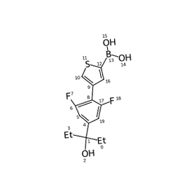 CCC(O)(CC)c1cc(F)c(-c2csc(B(O)O)c2)c(F)c1